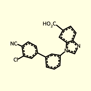 N#Cc1ccc(-c2cccc(-n3cnc4ccc(C(=O)O)cc43)c2)cc1Cl